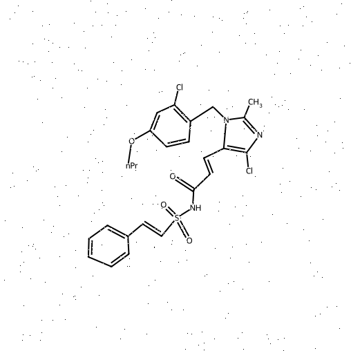 CCCOc1ccc(Cn2c(C)nc(Cl)c2C=CC(=O)NS(=O)(=O)C=Cc2ccccc2)c(Cl)c1